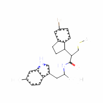 CC(=O)SCC(C(=O)NC(Cc1c[nH]c2cc(C)ccc12)C(=O)O)C1CCc2cc(Br)ccc21